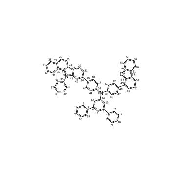 c1ccc(-c2cc(-c3ccccc3)cc(N(c3ccc(-c4ccc5c6ccc7ccccc7c6n(-c6ccccc6)c5c4)cc3)c3ccc(-c4cccc5c4oc4ccccc45)cc3)c2)cc1